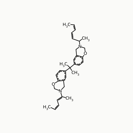 C/C=C\C=C/C(C)N1COc2ccc(C(C)(C)c3ccc4c(c3)CN(/C(C)=C/C=C\C)CO4)cc2C1